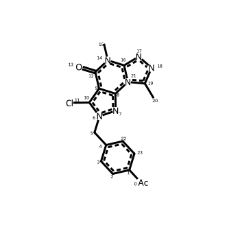 CC(=O)c1ccc(Cn2nc3c(c2Cl)c(=O)n(C)c2nnc(C)n32)cc1